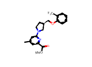 COC(=O)c1cc(C)cc(N2CC[C@@H](COc3ccccc3C(F)(F)F)C2)n1